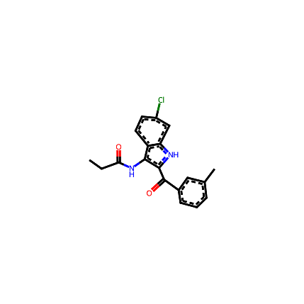 CCC(=O)Nc1c(C(=O)c2cccc(C)c2)[nH]c2cc(Cl)ccc12